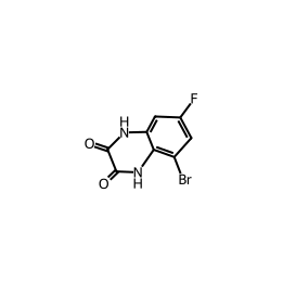 O=c1[nH]c2cc(F)cc(Br)c2[nH]c1=O